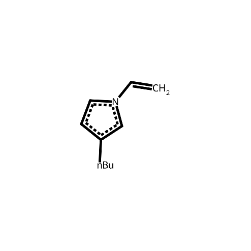 C=Cn1ccc(CCCC)c1